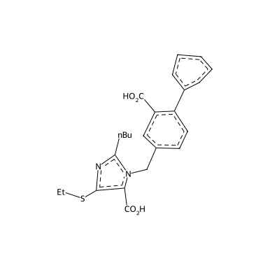 CCCCc1nc(SCC)c(C(=O)O)n1Cc1ccc(-c2ccccc2)c(C(=O)O)c1